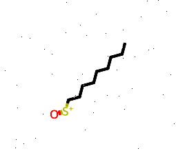 CCCCCCCCC[S+]=O